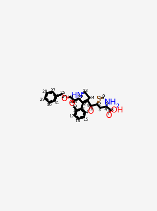 CSC(CC(N)C(=O)O)C(=O)C1=C(c2ccccc2C)C(C(=O)COCc2ccccc2)NCC1